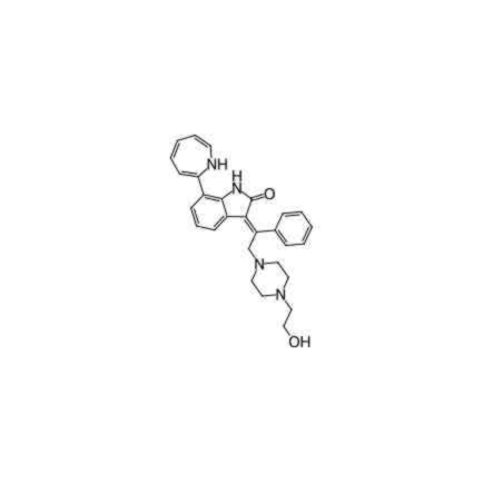 O=C1Nc2c(C3=CC=CC=CN3)cccc2C1=C(CN1CCN(CCO)CC1)c1ccccc1